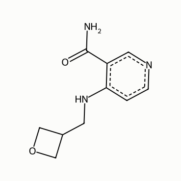 NC(=O)c1cnccc1NCC1COC1